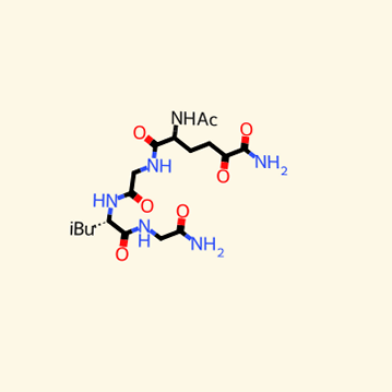 CCC(C)[C@H](NC(=O)CNC(=O)C(CCC(=O)C(N)=O)NC(C)=O)C(=O)NCC(N)=O